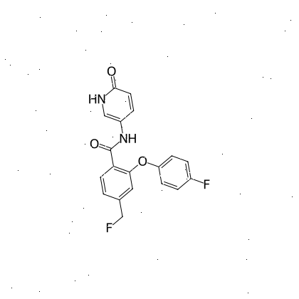 O=C(Nc1ccc(=O)[nH]c1)c1ccc(CF)cc1Oc1ccc(F)cc1